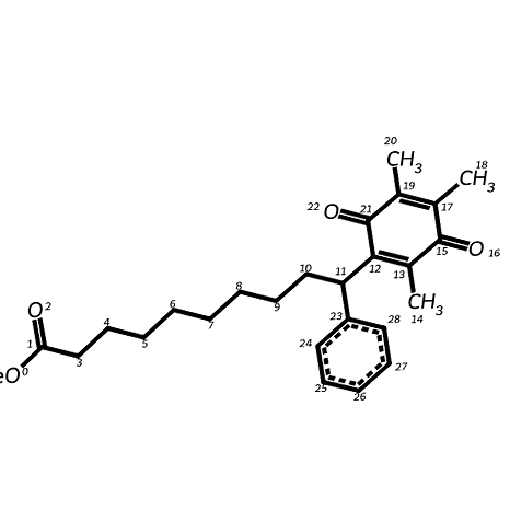 COC(=O)CCCCCCCCC(C1=C(C)C(=O)C(C)=C(C)C1=O)c1ccccc1